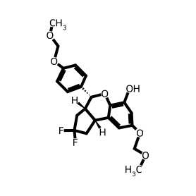 COCOc1ccc([C@@H]2Oc3c(O)cc(OCOC)cc3[C@@H]3CC(F)(F)C[C@@H]32)cc1